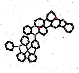 c1ccc(-c2ccc(-c3ccccc3N(c3ccc(-c4ccc5sc6ccccc6c5c4)cc3)c3ccc4c(c3)C3(c5ccccc5-4)c4ccccc4N(c4ccccc4)c4ccccc43)cc2)cc1